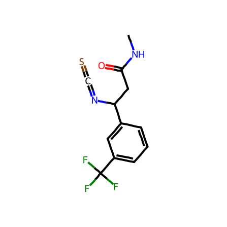 CNC(=O)CC(N=C=S)c1cccc(C(F)(F)F)c1